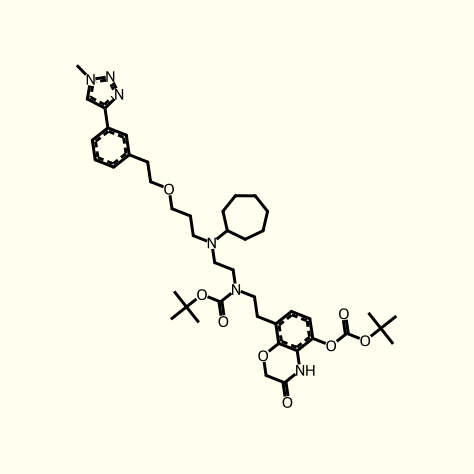 Cn1cc(-c2cccc(CCOCCCN(CCN(CCc3ccc(OC(=O)OC(C)(C)C)c4c3OCC(=O)N4)C(=O)OC(C)(C)C)C3CCCCCC3)c2)nn1